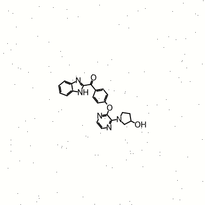 O=C(c1ccc(Oc2nccnc2N2CCC(O)C2)cc1)c1nc2ccccc2[nH]1